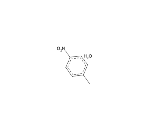 Cc1ccc([N+](=O)[O-])cc1.O